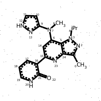 Cc1nn(C(C)C)c2c(N(C)c3cc[nH]n3)cc(-c3ccc[nH]c3=O)nc12